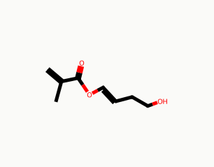 C=C(C)C(=O)OC=CCCO